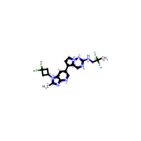 Cc1nc2ncc(-c3ccn4nc(NCC(C)(F)F)ncc34)cc2n1C1CC(F)(F)C1